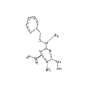 B[n+]1c(NCCC)nc(N(CC)OCc2ccccc2)nc1NCCC